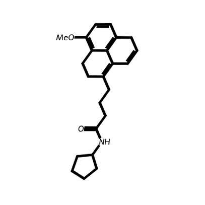 COc1ccc2c3c1CCC(CCCC(=O)NC1CCCC1)=C3C=CC2